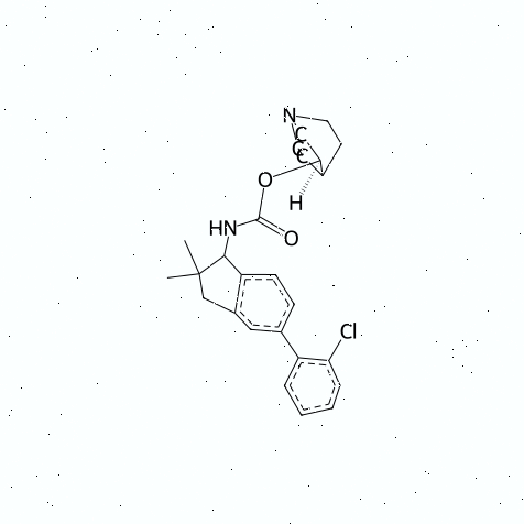 CC1(C)Cc2cc(-c3ccccc3Cl)ccc2C1NC(=O)O[C@H]1CN2CCC1CC2